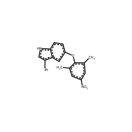 Cc1cc([N+](=O)[O-])cc(C)c1Oc1ccc2[nH]cc(C(C)C)c2c1